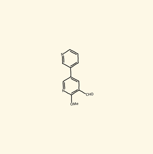 COc1ncc(-c2cccnc2)cc1C=O